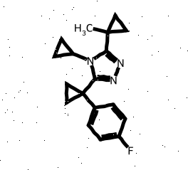 CC1(c2nnc(C3(c4ccc(F)cc4)CC3)n2C2CC2)CC1